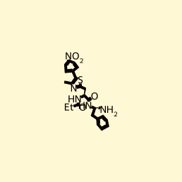 CCC(=O)N[C@@H](Cc1nc(C)c(-c2ccc([N+](=O)[O-])cc2)s1)C(=O)N[C@H](CN)Cc1ccccc1